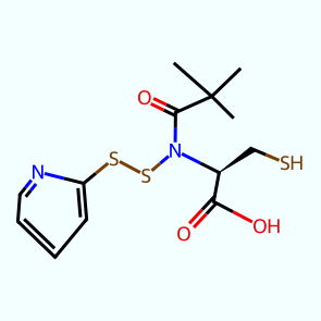 CC(C)(C)C(=O)N(SSc1ccccn1)[C@@H](CS)C(=O)O